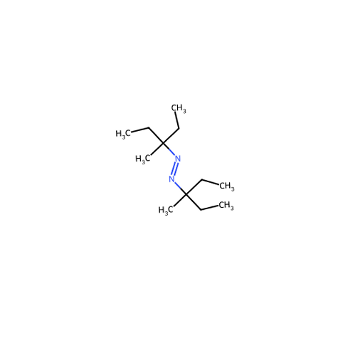 CCC(C)(CC)N=NC(C)(CC)CC